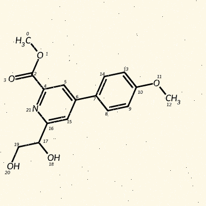 COC(=O)c1cc(-c2ccc(OC)cc2)cc(C(O)CO)n1